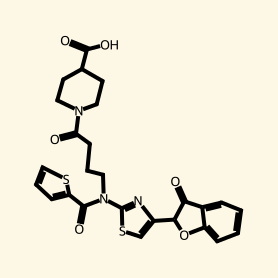 O=C(O)C1CCN(C(=O)CCCN(C(=O)c2cccs2)c2nc(C3Oc4ccccc4C3=O)cs2)CC1